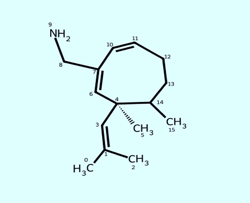 CC(C)=C[C@@]1(C)/C=C(CN)\C=C/CCC1C